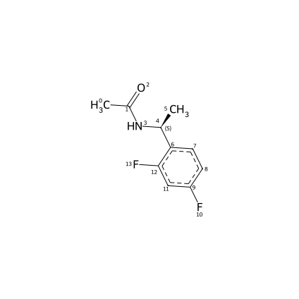 CC(=O)N[C@@H](C)c1ccc(F)cc1F